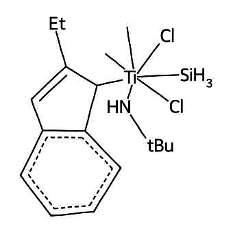 CCC1=Cc2ccccc2[CH]1[Ti]([CH3])([CH3])([SiH3])([Cl])([Cl])[NH]C(C)(C)C